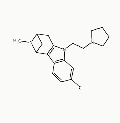 CN1C2Cc3c(c4ccc(Cl)cc4n3CCN3CCCC3)C1C2